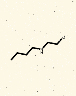 CCCCNCCCl